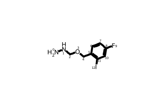 NNCOCc1ccc(F)cc1I